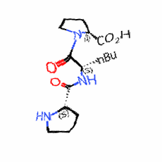 CCCC[C@H](NC(=O)[C@@H]1CCCN1)C(=O)N1CCC[C@H]1C(=O)O